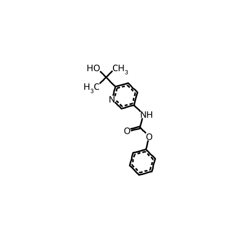 CC(C)(O)c1ccc(NC(=O)Oc2ccccc2)cn1